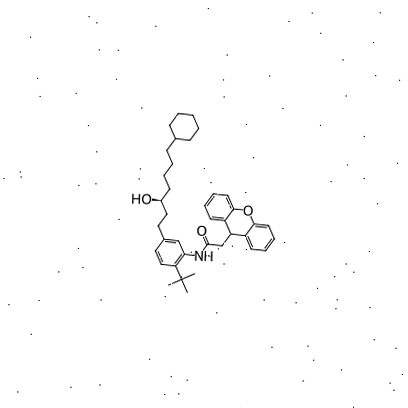 CC(C)(C)c1ccc(CC[C@@H](O)CCCCC2CCCCC2)cc1NC(=O)CC1c2ccccc2Oc2ccccc21